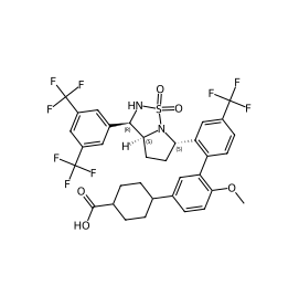 COc1ccc(C2CCC(C(=O)O)CC2)cc1-c1ccc(C(F)(F)F)cc1[C@@H]1CC[C@H]2[C@@H](c3cc(C(F)(F)F)cc(C(F)(F)F)c3)NS(=O)(=O)N12